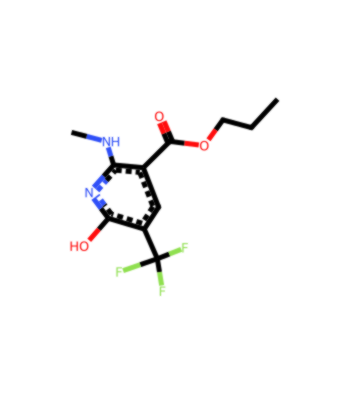 CCCOC(=O)c1cc(C(F)(F)F)c(O)nc1NC